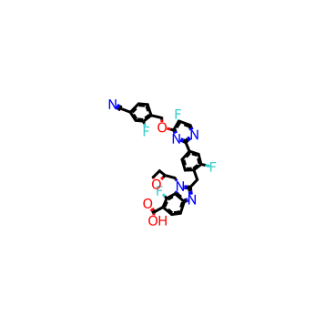 N#Cc1ccc(COc2nc(-c3ccc(Cc4nc5ccc(C(=O)O)c(F)c5n4CC4CCO4)c(F)c3)ncc2F)c(F)c1